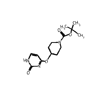 CC(C)(C)OC(=O)N1CCC(Oc2cc[nH]c(=O)n2)CC1